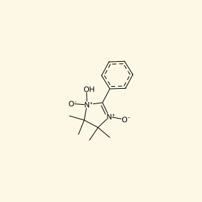 CC1(C)[N+]([O-])=C(c2ccccc2)[N+]([O-])(O)C1(C)C